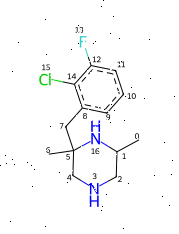 CC1CNCC(C)(Cc2cccc(F)c2Cl)N1